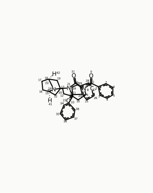 O=C(c1ccccc1)N1CCC(CCN2[C@@H]3CC[C@H]2CC(N2C(=O)c4ccccc4C2=O)C3)(c2ccccc2)CC1